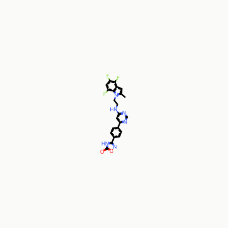 Cc1cc2c(F)c(F)cc(F)c2n1CCNc1cc(-c2ccc(-c3noc(=O)[nH]3)cc2)ncn1